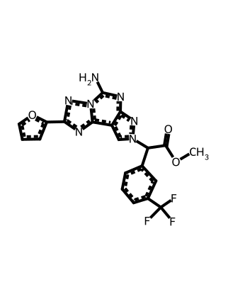 COC(=O)C(c1cccc(C(F)(F)F)c1)n1cc2c(nc(N)n3nc(-c4ccco4)nc23)n1